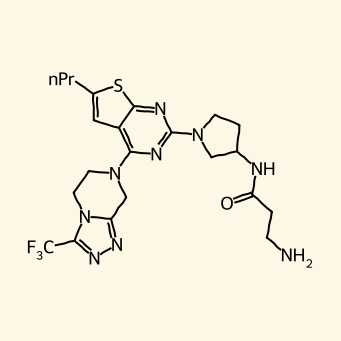 CCCc1cc2c(N3CCn4c(nnc4C(F)(F)F)C3)nc(N3CCC(NC(=O)CCN)C3)nc2s1